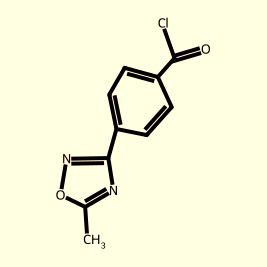 Cc1nc(-c2ccc(C(=O)Cl)cc2)no1